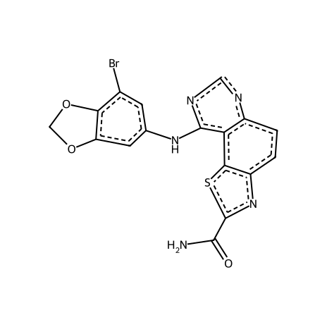 NC(=O)c1nc2ccc3ncnc(Nc4cc(Br)c5c(c4)OCO5)c3c2s1